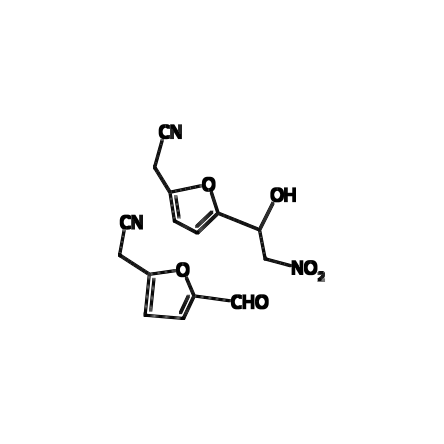 N#CCc1ccc(C(O)C[N+](=O)[O-])o1.N#CCc1ccc(C=O)o1